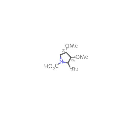 CO[C@H]1CN(C(=O)O)C(C(C)(C)C)[C@@H]1OC